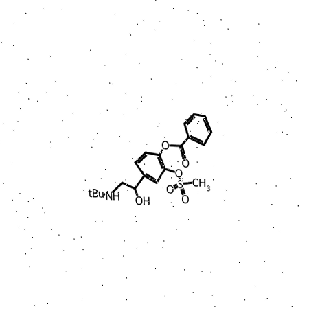 CC(C)(C)NCC(O)c1ccc(OC(=O)c2ccccc2)c(OS(C)(=O)=O)c1